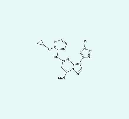 CNc1cc(Nc2cccnc2OC2CC2)nc2c(-c3cn(C(C)C)nn3)cnn12